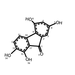 O=C1c2cc(O)cc(O)c2-c2ccc(O)c(O)c21